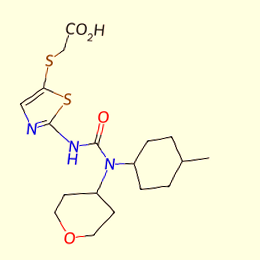 CC1CCC(N(C(=O)Nc2ncc(SCC(=O)O)s2)C2CCOCC2)CC1